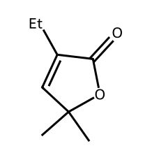 CCC1=CC(C)(C)OC1=O